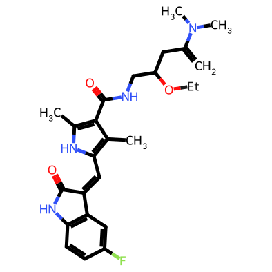 C=C(CC(CNC(=O)c1c(C)[nH]c(/C=C2\C(=O)Nc3ccc(F)cc32)c1C)OCC)N(C)C